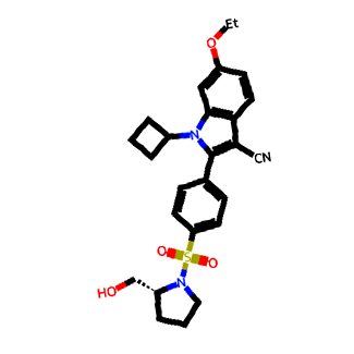 CCOc1ccc2c(C#N)c(-c3ccc(S(=O)(=O)N4CCC[C@@H]4CO)cc3)n(C3CCC3)c2c1